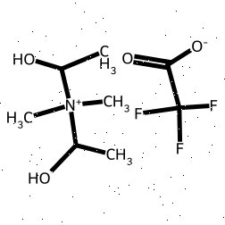 CC(O)[N+](C)(C)C(C)O.O=C([O-])C(F)(F)F